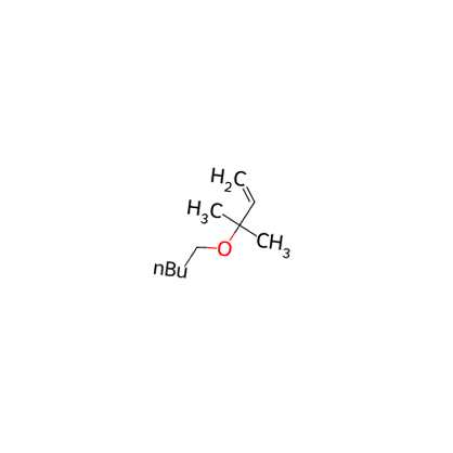 C=CC(C)(C)OCCCCC